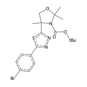 CC(C)(C)OC(=O)N1C(C)(C)OCC1(C)c1nnc(-c2ccc(Br)cc2)s1